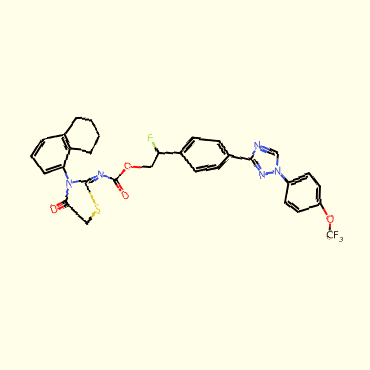 O=C(/N=C1\SCC(=O)N1c1cccc2c1CCCC2)OCC(F)c1ccc(-c2ncn(-c3ccc(OC(F)(F)F)cc3)n2)cc1